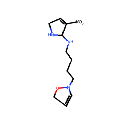 O=[N+]([O-])C1=CCNC1NCCCCN1C=CCO1